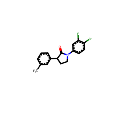 O=C1C(c2cccc(C(F)(F)F)c2)CCN1c1ccc(Br)c(F)c1